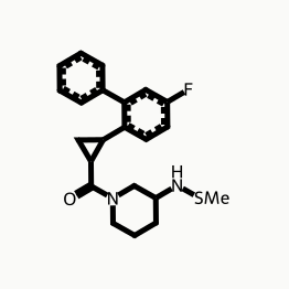 CSNC1CCCN(C(=O)C2CC2c2ccc(F)cc2-c2ccccc2)C1